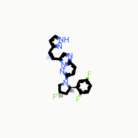 Fc1ccc(F)c([C@H]2C[C@H](F)CN2c2ccc3ncc(/C=C\c4cc[nH]n4)n3n2)c1